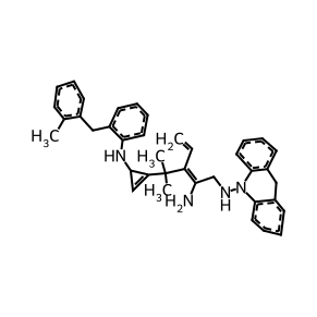 C=C/C(=C(/N)CNN1c2ccccc2Cc2ccccc21)C(C)(C)C1=CC1Nc1ccccc1Cc1ccccc1C